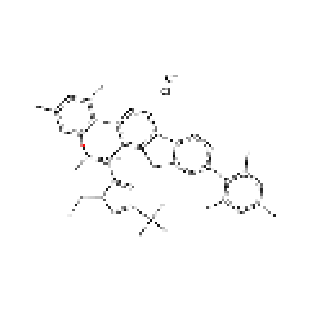 CCCC1C=C(C(C)(C)C)C=[C]1[Zr+2](=[C](C)C)[c]1c(-c2c(C)cc(C)cc2C)ccc2c1Cc1cc(-c3c(C)cc(C)cc3C)ccc1-2.[Cl-].[Cl-]